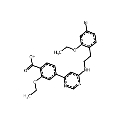 CCOc1cc(Br)ccc1CCNc1cc(-c2ccc(C(=O)O)c(OCC)c2)ncn1